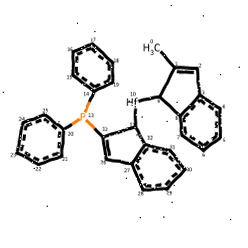 CC1=Cc2ccccc2[CH]1[Hf][CH]1C(P(c2ccccc2)c2ccccc2)=Cc2ccccc21